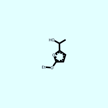 CCOc1ccc(C(C)O)o1